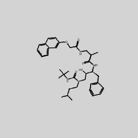 CC(C)CCN(CC(O)[C@H](Cc1ccccc1)NC(=O)C(C)CNC(=O)COc1ccc2ccccc2c1)C(=O)NC(C)(C)C